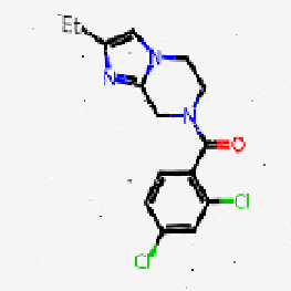 CCc1cn2c(n1)CN(C(=O)c1ccc(Cl)cc1Cl)CC2